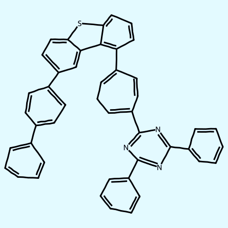 C1=CC(c2cccc3sc4ccc(-c5ccc(-c6ccccc6)cc5)cc4c23)=CCC=C1c1nc(-c2ccccc2)nc(-c2ccccc2)n1